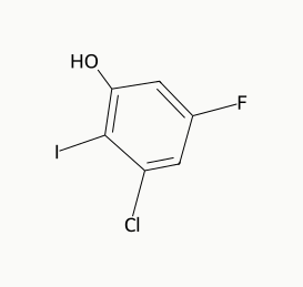 Oc1cc(F)cc(Cl)c1I